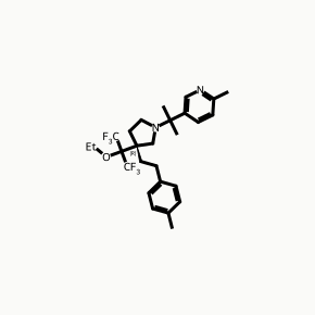 CCOC(C(F)(F)F)(C(F)(F)F)[C@]1(CCc2ccc(C)cc2)CCN(C(C)(C)c2ccc(C)nc2)C1